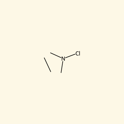 CC.CN(C)Cl